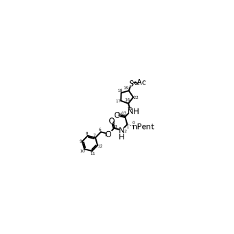 CCCCC[C@H](NC(=O)OCc1ccccc1)C(=O)NC1CCC(SC(C)=O)C1